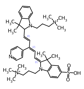 CC1(C)\C(=C/C=C(/C=C/C2N(CCC[N+](C)(C)C)c3ccccc3C2(C)C)c2ccncc2)N(CCC[N+](C)(C)C)c2ccc(S(=O)(=O)O)cc21